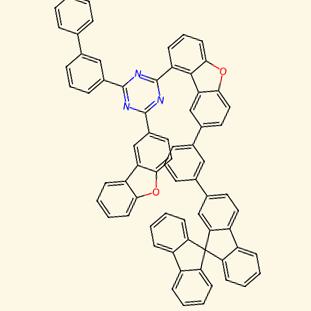 c1ccc(-c2cccc(-c3nc(-c4ccc5oc6ccccc6c5c4)nc(-c4cccc5oc6ccc(-c7cccc(-c8ccc9c(c8)C8(c%10ccccc%10-c%10ccccc%108)c8ccccc8-9)c7)cc6c45)n3)c2)cc1